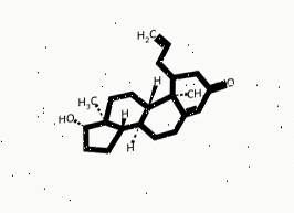 C=CCC1CC(=O)C=C2CC[C@H]3[C@@H]4CC[C@H](O)[C@@]4(C)CC[C@@H]3[C@]21C